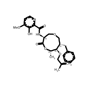 C=C(C)CO[C@@H]1[C@@H](Cc2ccccc2)COC[C@H](NC(=O)c2nccc(OC)c2O)C(=O)O[C@H]1C